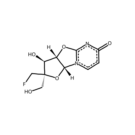 O=c1ccn2c(n1)O[C@@H]1[C@H]2O[C@@](CO)(CF)[C@H]1O